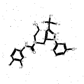 [CH]c1ccc(NC(=O)N(CCO)Cc2cc(C(F)(F)F)nn2-c2cccc(Cl)c2)cc1F